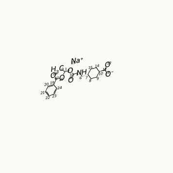 CC(OC(=O)NC[C@H]1CC[C@H](C(=O)[O-])CC1)OC(=O)c1ccccc1.[Na+]